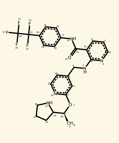 C[C@H](Oc1cc(CNc2ncccc2C(=O)Nc2ccc(C(F)(F)C(F)(F)F)cc2)ccn1)C1CCCN1